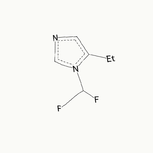 CCc1cncn1C(F)F